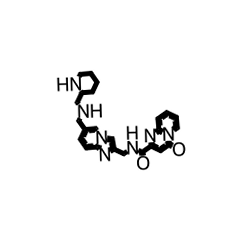 O=C(NCc1cn2cc(CNCC3CCCCN3)ccc2n1)c1cc(=O)n2ccccc2n1